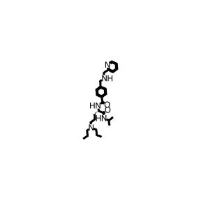 CCCN(CCC)CCC[C@H](NC(=O)c1ccc(CNCc2ccccn2)cc1)C(=O)NC(C)C